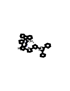 C=C/C=C\C=C(/C)C1(c2cccc(-c3cccc(-c4cccc(-c5cccc(-c6nc(-c7ccccc7)cc(-c7ccccc7)n6)c5)n4)c3)c2)c2ccccc2-c2ccccc21